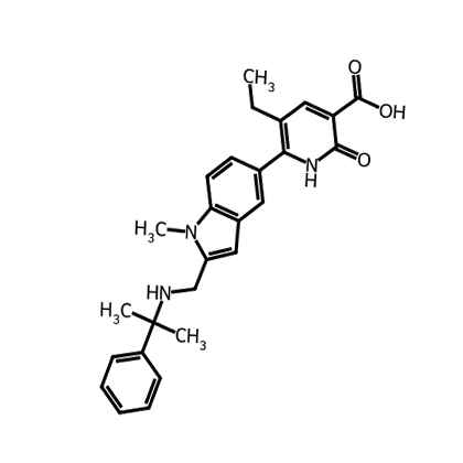 CCc1cc(C(=O)O)c(=O)[nH]c1-c1ccc2c(c1)cc(CNC(C)(C)c1ccccc1)n2C